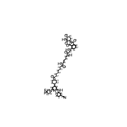 N#Cc1ccnc(Nc2cc(C3CCN(C(=O)CCCCCCC(=O)NCCCCNC(=O)CNc4cccc5c4C(=O)N(C4CCC(=O)NC4=O)C5=O)CC3)cc(N3CCC(F)(F)C3)n2)c1